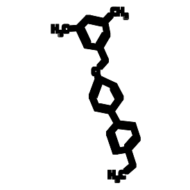 CCc1ccc(-c2ccc(OCc3cc(C)cc(C)c3)cc2)cc1